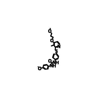 COCCCOc1ccnc(CSc2ccc(NC(=O)Nc3ccc(OC)cc3)cc2)c1C